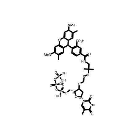 CNc1cc2c(cc1C)C(c1ccc(C(=O)NCC(C)(C)SSCOC3C[C@H](n4cc(C)c(=O)[nH]c4=O)O[C@@H]3COP(=O)(O)OP(=O)(O)OP(=O)(O)O)cc1C(=O)O)C1C=C(C)C(NC)C=C1O2